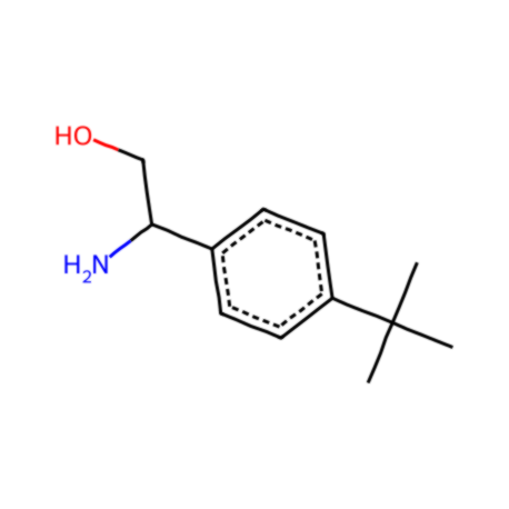 CC(C)(C)c1ccc(C(N)CO)cc1